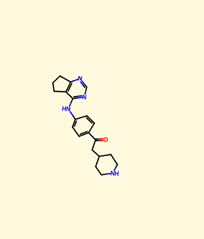 O=C(CC1CCNCC1)c1ccc(Nc2ncnc3c2CCC3)cc1